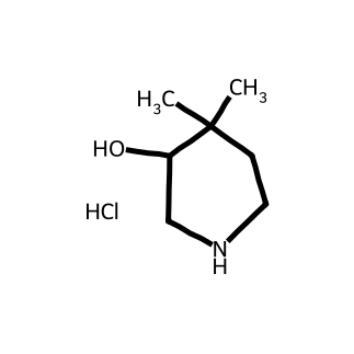 CC1(C)CCNCC1O.Cl